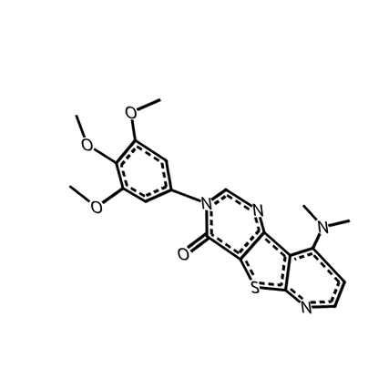 COc1cc(-n2cnc3c(sc4nccc(N(C)C)c43)c2=O)cc(OC)c1OC